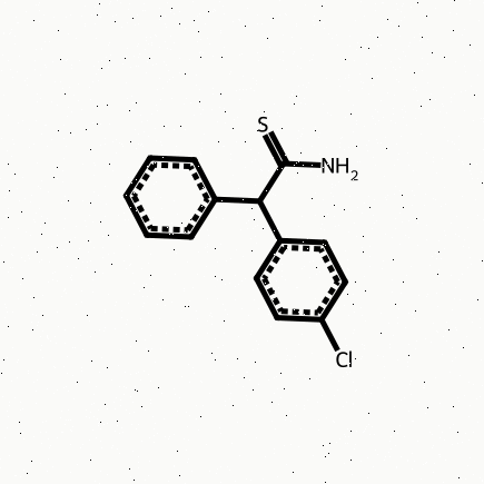 NC(=S)C(c1ccccc1)c1ccc(Cl)cc1